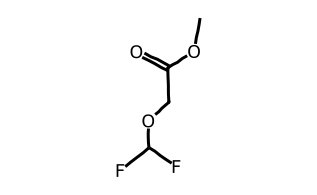 COC(=O)COC(F)F